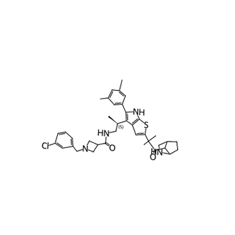 Cc1cc(C)cc(-c2[nH]c3sc(C(C)(C)C(=O)C4C5CCC4NC5)cc3c2[C@H](C)CNC(=O)C2CN(Cc3cccc(Cl)c3)C2)c1